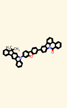 CC1(C)c2ccccc2-c2cc3c4ccccc4n(-c4ccc5c(c4)oc4cc(-c6ccc7c(c6)c6cccc8c9ccccc9c(=O)n7c86)ccc45)c3cc21